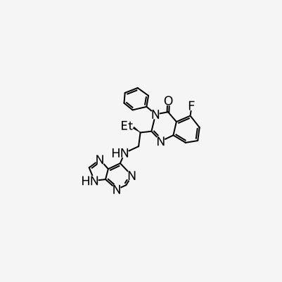 CC[C@H](CNc1ncnc2[nH]cnc12)c1nc2cccc(F)c2c(=O)n1-c1ccccc1